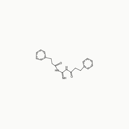 N=C(NC(=O)CCc1ccccc1)NC(=O)CCc1ccccc1